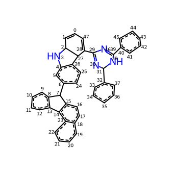 C1=CC2Nc3cc(C4c5ccccc5-c5c4ccc4ccccc54)ccc3C2C(C2=NC(c3ccccc3)NC(c3ccccc3)=N2)=C1